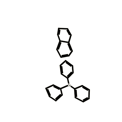 c1ccc([Si](c2ccccc2)c2ccccc2)cc1.c1ccc2ccccc2c1